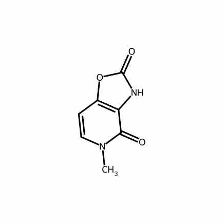 Cn1ccc2oc(=O)[nH]c2c1=O